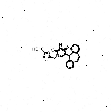 O=C(O)c1coc(Cn2cc(C3c4ccccc4C=Cc4ccccc43)c(=S)[nH]c2=O)n1